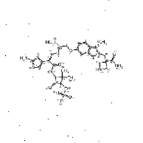 C[n+]1c2ccc(OC[C@H](O/N=C(\C(=O)NC3C(=O)N(OS(=O)(=O)[O-])C3(C)C)c3csc(N)n3)C(=O)O)cc2cn1CC1(C(N)=O)CNC1